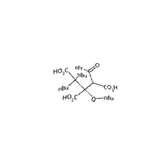 CCCCOC(C(=O)O)(C(C(=O)O)C(=O)CCC)C(CCCC)(CCCC)C(=O)O